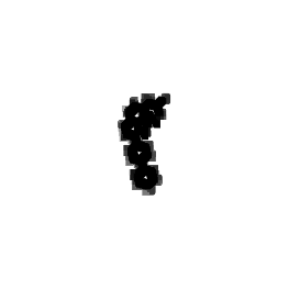 Cc1cnc2c(ccc3ccc(-c4ccc(-c5ccccc5)cc4)nc32)c1